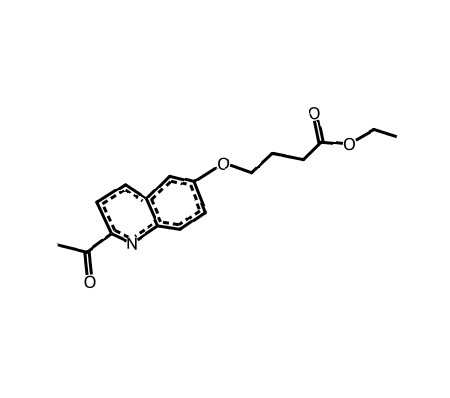 CCOC(=O)CCCOc1ccc2nc(C(C)=O)ccc2c1